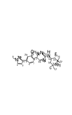 Cn1ccc(-c2ccc(-c3cnc(NC4CC(C)(C)NC(C)(C)[C@H]4F)nn3)c(O)c2)n1